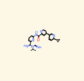 CC(C)N(C=N)C(=N)c1cccc(NC(=O)c2cc(-c3ccc(C4CC4)nc3)ccn2)n1